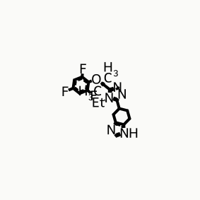 CCn1c(C2CCc3[nH]cnc3C2)nnc1C(C)(C)Oc1c(F)cc(F)cc1F